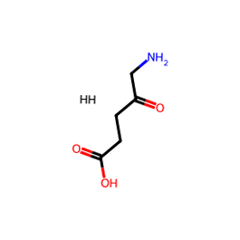 NCC(=O)CCC(=O)O.[HH]